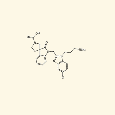 N#CCCCn1c(CN2C(=O)C3(CCN(C(=O)O)C3)c3ccccc32)nc2cc(Cl)ccc21